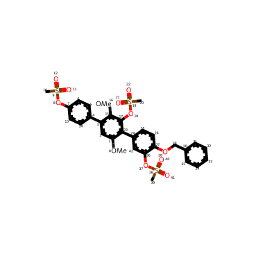 COc1cc(-c2ccc(OS(C)(=O)=O)cc2)c(OC)c(OS(C)(=O)=O)c1-c1ccc(OCc2ccccc2)c(OS(C)(=O)=O)c1